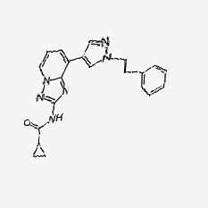 O=C(Nc1nc2c(-c3cnn(CCc4ccccc4)c3)cccn2n1)C1CC1